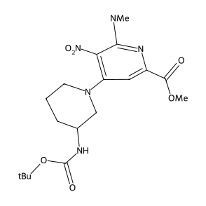 CNc1nc(C(=O)OC)cc(N2CCCC(NC(=O)OC(C)(C)C)C2)c1[N+](=O)[O-]